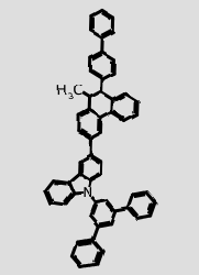 CC1c2ccc(-c3ccc4c(c3)c3ccccc3n4-c3cc(-c4ccccc4)cc(-c4ccccc4)c3)cc2-c2ccccc2C1c1ccc(-c2ccccc2)cc1